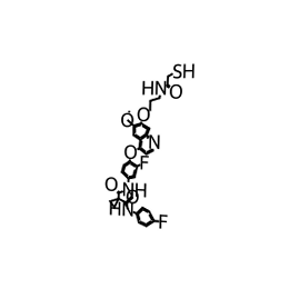 COc1cc2c(Oc3ccc(NC(=O)C4(C(=O)Nc5ccc(F)cc5)CC4)cc3F)ccnc2cc1OCCCNC(=O)CS